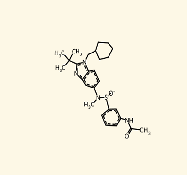 CC(=O)Nc1cccc([S+]([O-])N(C)c2ccc3c(c2)nc(C(C)(C)C)n3CC2CCCCC2)c1